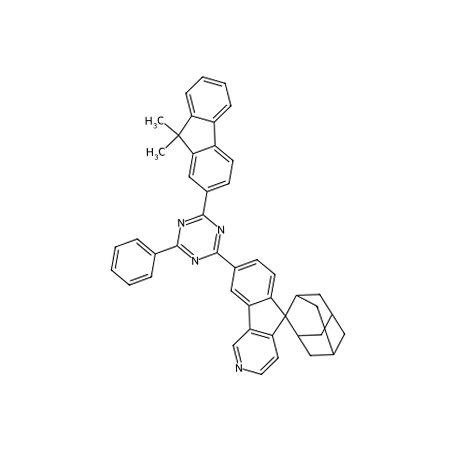 CC1(C)c2ccccc2-c2ccc(-c3nc(-c4ccccc4)nc(-c4ccc5c(c4)-c4cnccc4C54C5CC6CC(C5)CC4C6)n3)cc21